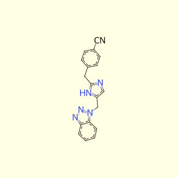 N#Cc1ccc(Cc2ncc(Cn3nnc4ccccc43)[nH]2)cc1